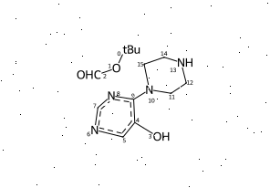 CC(C)(C)OC=O.Oc1cncnc1N1CCNCC1